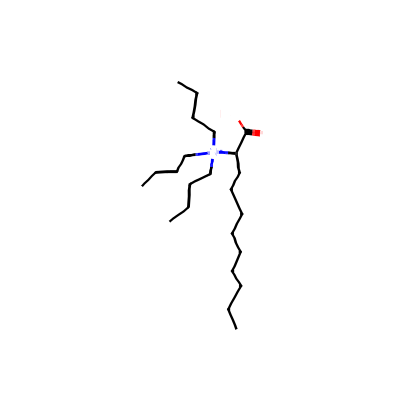 CCCCCCCCCC(C(=O)O)[N+](CCCC)(CCCC)CCCC